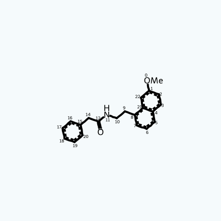 COc1ccc2cccc(CCNC(=O)Cc3ccccc3)c2c1